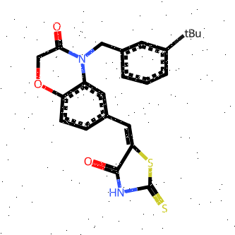 CC(C)(C)c1cccc(CN2C(=O)COc3ccc(C=C4SC(=S)NC4=O)cc32)c1